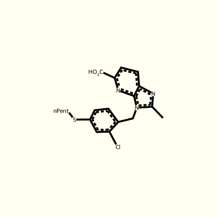 CCCCCSc1ccc(Cn2c(C)nc3ccc(C(=O)O)nc32)c(Cl)c1